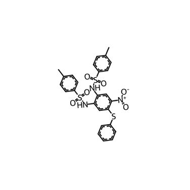 Cc1ccc(S(=O)(=O)Nc2cc(Sc3ccccc3)c([N+](=O)[O-])cc2NS(=O)(=O)c2ccc(C)cc2)cc1